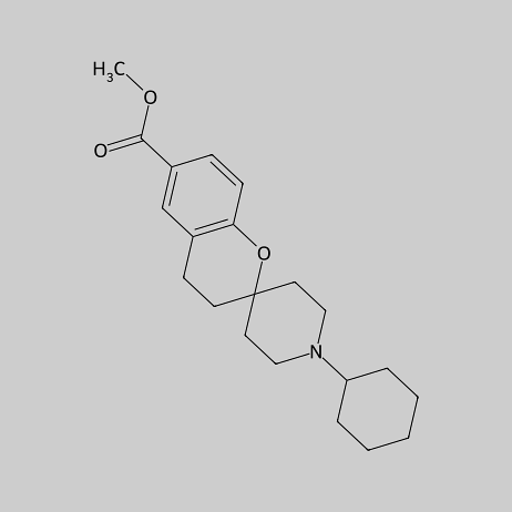 COC(=O)c1ccc2c(c1)CCC1(CCN(C3CCCCC3)CC1)O2